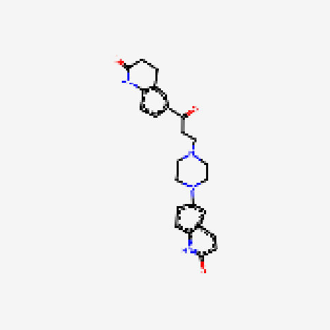 O=C1CCc2cc(C(=O)CCN3CCN(c4ccc5[nH]c(=O)ccc5c4)CC3)ccc2N1